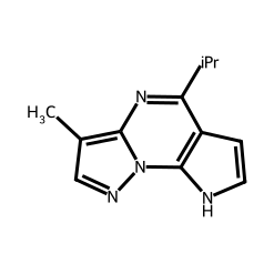 Cc1cnn2c1nc(C(C)C)c1cc[nH]c12